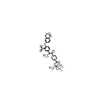 C=C(C(=O)N1CCN(C(=O)OC(C)(C)C)CC1)c1ccc(Sc2ccc3c(c2)CCOO3)c([N+](=O)[O-])c1